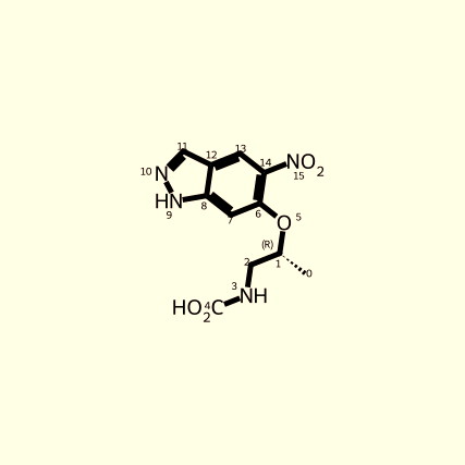 C[C@H](CNC(=O)O)Oc1cc2[nH]ncc2cc1[N+](=O)[O-]